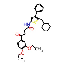 CCOc1ccc(C(=O)CCC(=O)Nc2cc(-c3ccccc3)c(CC3CCCCC3)s2)cc1OCC